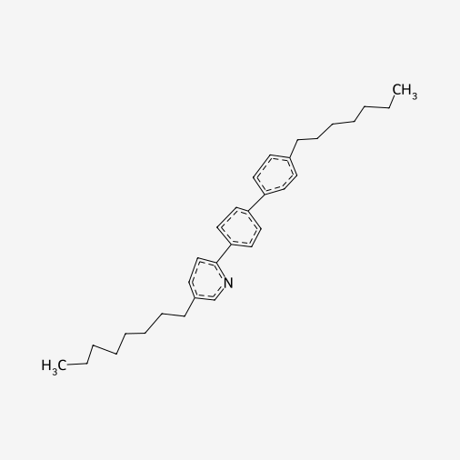 CCCCCCCCc1ccc(-c2ccc(-c3ccc(CCCCCCC)cc3)cc2)nc1